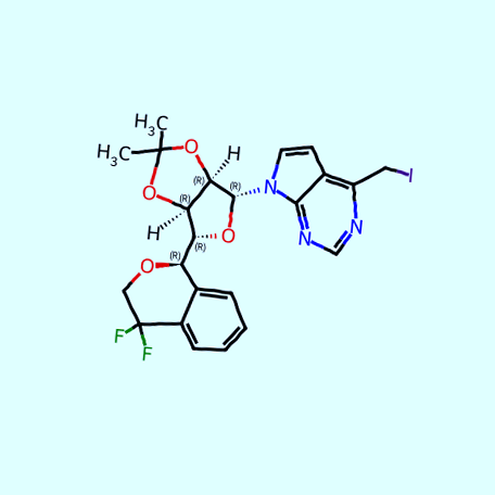 CC1(C)O[C@H]2[C@@H](O1)[C@H](n1ccc3c(CI)ncnc31)O[C@@H]2[C@@H]1OCC(F)(F)c2ccccc21